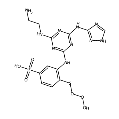 NCCNc1nc(Nc2nc[nH]n2)nc(Nc2cc(S(=O)(=O)O)ccc2SOOO)n1